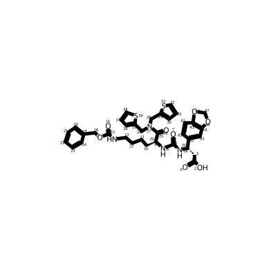 O=C(O)C[C@H](NC(=O)N[C@@H](CCCCNC(=O)OCc1ccccc1)C(=O)N(Cc1cccs1)Cc1cccs1)c1ccc2c(c1)OCO2